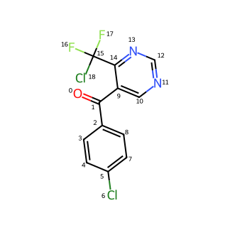 O=C(c1ccc(Cl)cc1)c1cncnc1C(F)(F)Cl